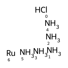 Cl.N.N.N.N.N.[Ru]